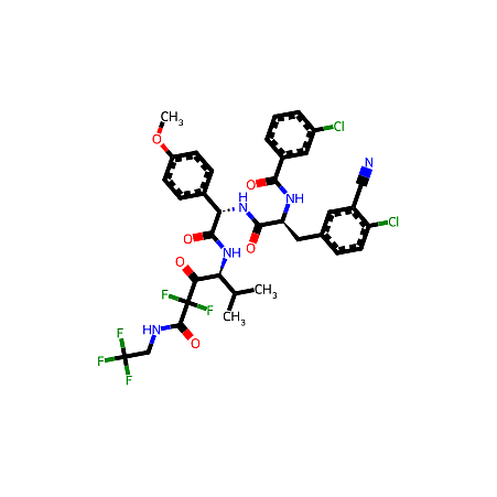 COc1ccc([C@H](NC(=O)[C@H](Cc2ccc(Cl)c(C#N)c2)NC(=O)c2cccc(Cl)c2)C(=O)N[C@H](C(=O)C(F)(F)C(=O)NCC(F)(F)F)C(C)C)cc1